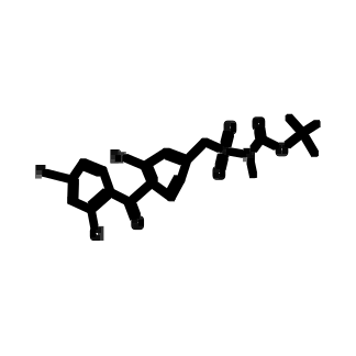 CN(C(=O)OC(C)(C)C)S(=O)(=O)Cc1ccc(C(=O)c2ccc(F)cc2Cl)c(Br)c1